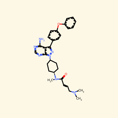 CN(C)C/C=C/C(=O)N(C)[C@H]1CC[C@@H](n2nc(-c3ccc(Oc4ccccc4)cc3)c3c(N)ncnc32)CC1